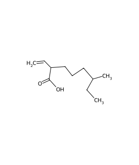 C=CC(CCCC(C)CC)C(=O)O